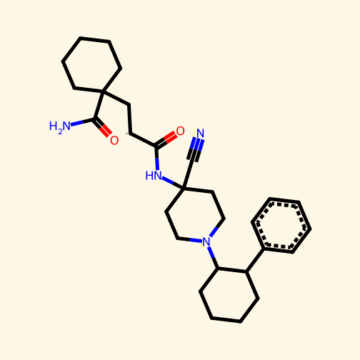 N#CC1(NC(=O)[CH]CC2(C(N)=O)CCCCC2)CCN(C2CCCCC2c2ccccc2)CC1